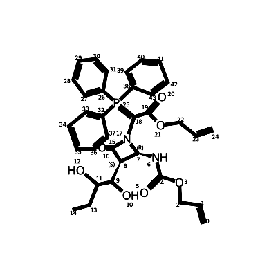 C=CCOC(=O)N[C@H]1[C@@H](C(O)C(O)CC)C(=O)N1C(C(=O)OCC=C)=P(c1ccccc1)(c1ccccc1)c1ccccc1